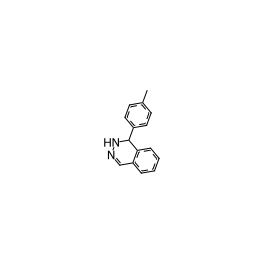 Cc1ccc(C2NN=Cc3ccccc32)cc1